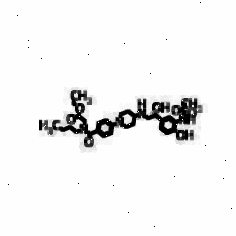 CCCCN(CC(=O)OCC)C(=O)c1ccc(N2CCC(NC[C@H](O)c3ccc(O)c(NS(C)(=O)=O)c3)CC2)cc1